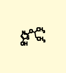 CCC(C)Oc1ncc(O)s1